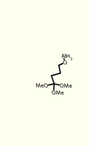 COC(CCC[O][AlH2])(OC)OC